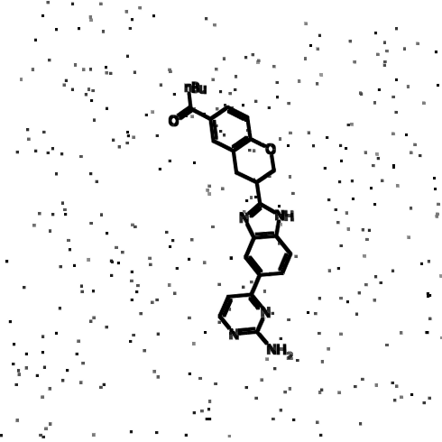 CCCCC(=O)c1ccc2c(c1)CC(c1nc3cc(-c4ccnc(N)n4)ccc3[nH]1)CO2